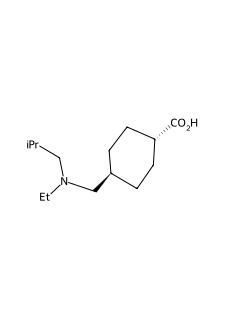 CCN(CC(C)C)C[C@H]1CC[C@H](C(=O)O)CC1